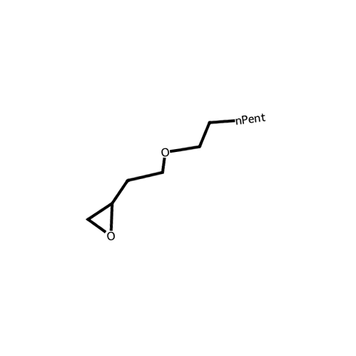 CCCCCCCOCCC1CO1